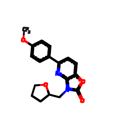 O=c1oc2ccc(-c3ccc(OC(F)(F)F)cc3)nc2n1CC1CCCO1